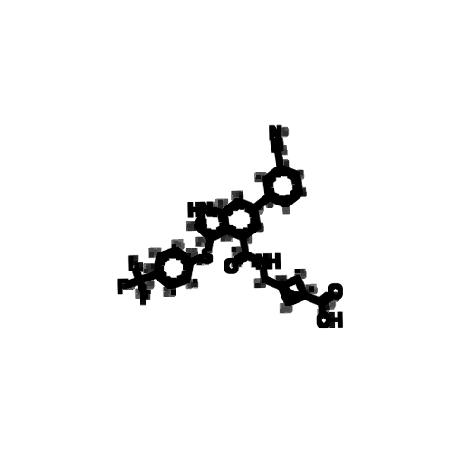 N#Cc1cccc(-c2cc(C(=O)NCC34CC(C(=O)O)(C3)C4)c3c(Sc4ccc(C(F)(F)F)cc4)c[nH]c3c2)c1